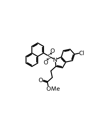 COC(=O)CCc1cc2cc(Cl)ccc2n1S(=O)(=O)c1cccc2ccccc12